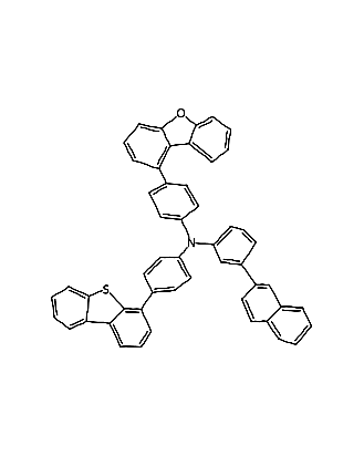 c1cc(-c2ccc3ccccc3c2)cc(N(c2ccc(-c3cccc4c3sc3ccccc34)cc2)c2ccc(-c3cccc4oc5ccccc5c34)cc2)c1